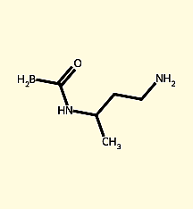 BC(=O)NC(C)CCN